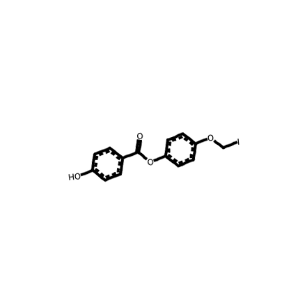 O=C(Oc1ccc(OCI)cc1)c1ccc(O)cc1